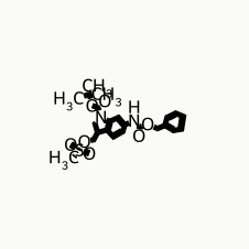 CC(C)(C)OC(=O)N1CC(COS(C)(=O)=O)c2ccc(NC(=O)OCc3ccccc3)cc21